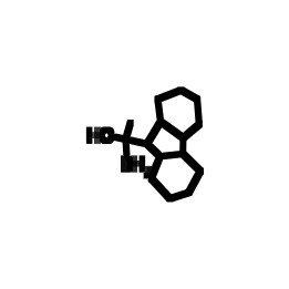 BC(C)(O)C1C2CCCCC2C2CCCCC21